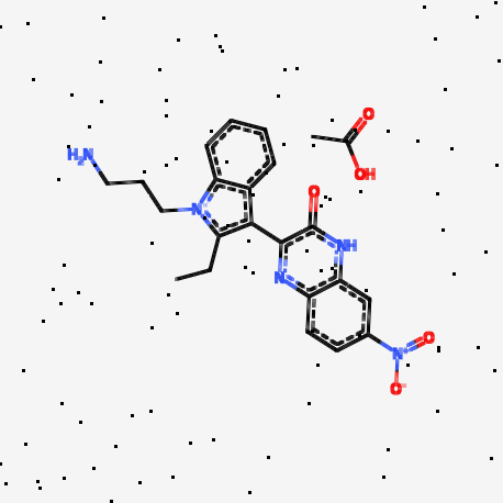 CC(=O)O.CCc1c(-c2nc3ccc([N+](=O)[O-])cc3[nH]c2=O)c2ccccc2n1CCCN